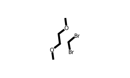 BrCBr.COCCOC